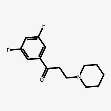 O=C(CCN1CCCCC1)c1cc(F)cc(F)c1